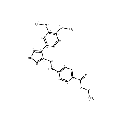 CCCC(=O)c1ccc(NCc2c[nH]nc2-c2ccc(OC)c(OC)c2)cc1